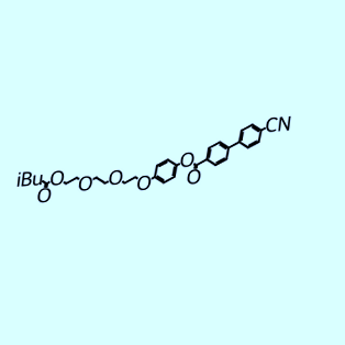 CCC(C)C(=O)OCCOCCOCCOc1ccc(OC(=O)c2ccc(-c3ccc(C#N)cc3)cc2)cc1